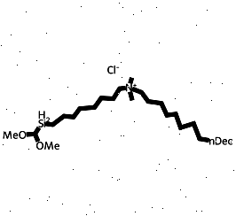 CCCCCCCCCCCCCCCCCC[N+](C)(C)CCCCCCCC[SiH2]C(OC)OC.[Cl-]